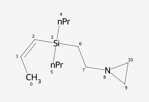 C/C=C\[Si](CCC)(CCC)CCN1CC1